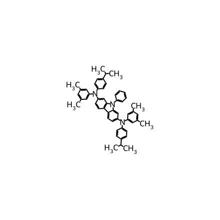 Cc1cc(C)cc(N(c2ccc(C(C)C)cc2)c2ccc3c4ccc(N(c5ccc(C(C)C)cc5)c5cc(C)cc(C)c5)cc4n(-c4ccccc4)c3c2)c1